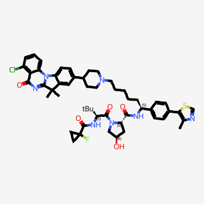 Cc1ncsc1-c1ccc([C@H](CCCCCN2CCC(c3ccc4c(c3)C(C)(C)c3nc(=O)c5c(Cl)cccc5n3-4)CC2)NC(=O)[C@@H]2C[C@@H](O)CN2C(=O)[C@@H](NC(=O)C2(F)CC2)C(C)(C)C)cc1